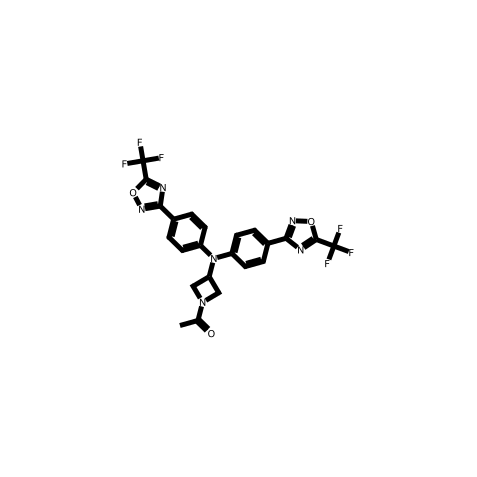 CC(=O)N1CC(N(c2ccc(-c3noc(C(F)(F)F)n3)cc2)c2ccc(-c3noc(C(F)(F)F)n3)cc2)C1